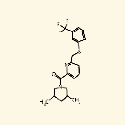 CC1CC(C)CN(C(=O)c2cccc(CSc3cccc(C(F)(F)F)c3)n2)C1